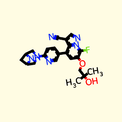 CC(C)(O)COc1cc(-c2ccc(N3CC4CC(C3)N4)nc2)c2c(C#N)cnn2c1F